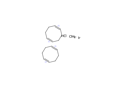 C1=C\CC/C=C\CC/1.C1=C\CC/C=C\CC/1.Cl.Cl.[Ir].[Ir]